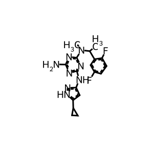 CC(c1cc(F)ccc1F)N(C)c1nc(N)nc(Nc2cc(C3CC3)[nH]n2)n1